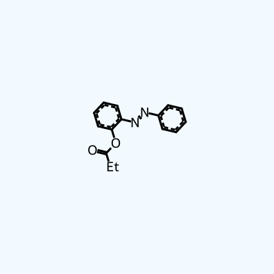 CCC(=O)Oc1ccccc1N=Nc1ccccc1